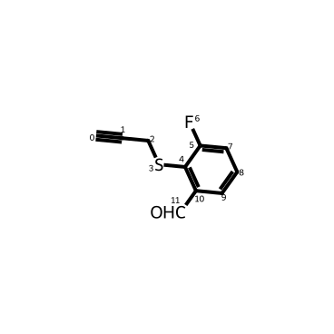 C#CCSc1c(F)cccc1C=O